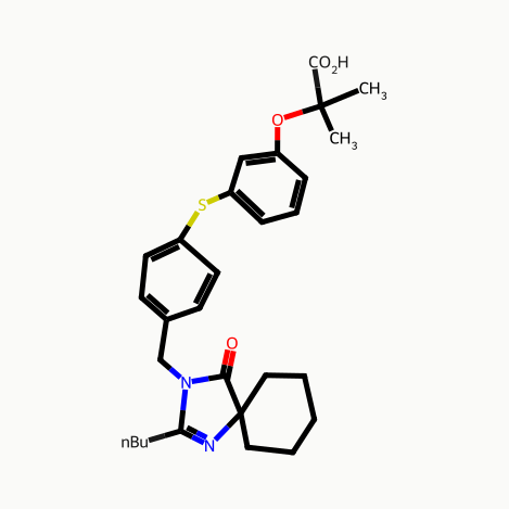 CCCCC1=NC2(CCCCC2)C(=O)N1Cc1ccc(Sc2cccc(OC(C)(C)C(=O)O)c2)cc1